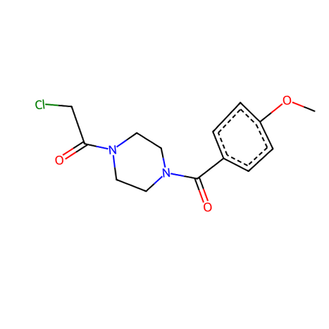 COc1ccc(C(=O)N2CCN(C(=O)CCl)CC2)cc1